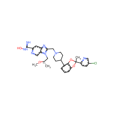 CO[C@@H](C)Cn1c(CN2CCC(c3cccc4c3OC(C)(c3ccc(Cl)cn3)O4)CC2)nc2cc(C(=N)NO)ncc21